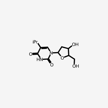 CC(C)c1cn(C2CC(O)C(CO)O2)c(=O)[nH]c1=O